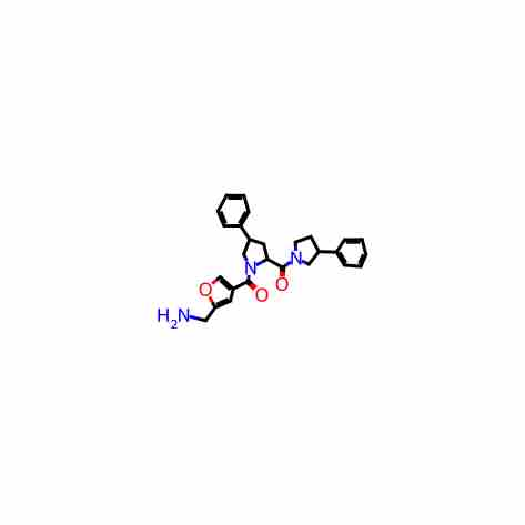 NCc1cc(C(=O)N2CC(c3ccccc3)CC2C(=O)N2CCC(c3ccccc3)C2)co1